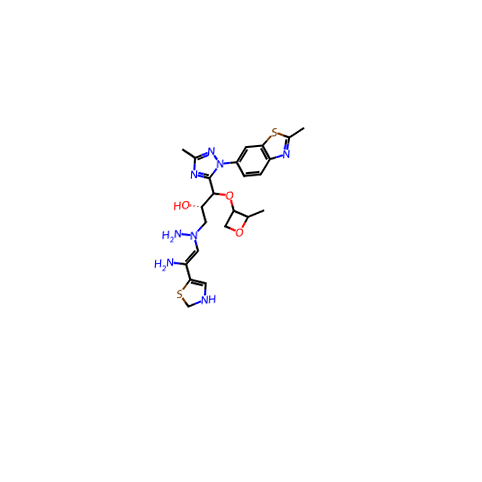 Cc1nc(C(OC2COC2C)[C@@H](O)CN(N)/C=C(\N)C2=CNCS2)n(-c2ccc3nc(C)sc3c2)n1